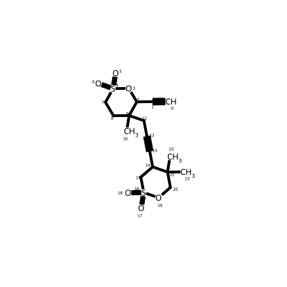 C#CC1OS(=O)(=O)CCC1(C)CC#CC1CS(=O)(=O)OCC1(C)C